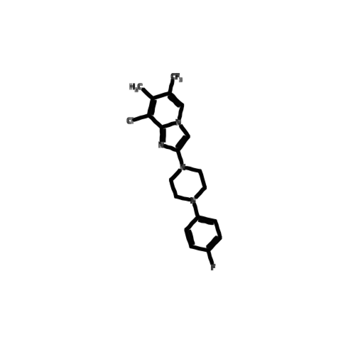 Cc1c(C(F)(F)F)cn2cc(N3CCN(c4ccc(F)cc4)CC3)nc2c1Cl